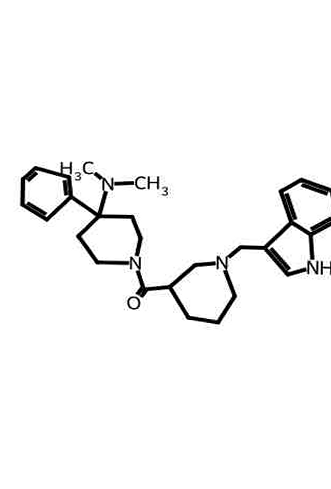 CN(C)C1(c2ccccc2)CCN(C(=O)C2CCCN(Cc3c[nH]c4ccccc34)C2)CC1